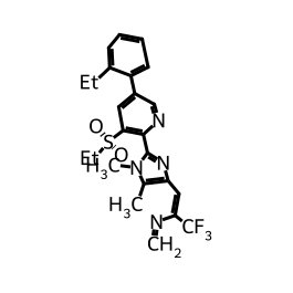 C=N/C(=C\c1nc(-c2ncc(-c3ccccc3CC)cc2S(=O)(=O)CC)n(C)c1C)C(F)(F)F